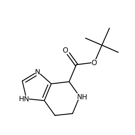 CC(C)(C)OC(=O)C1NCCc2[nH]cnc21